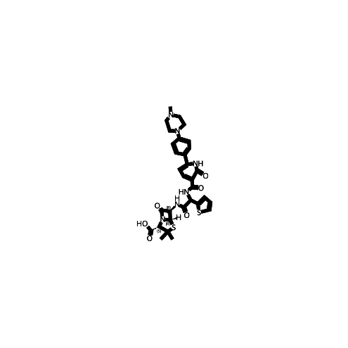 CN1CCN(c2ccc(-c3ccc(C(=O)NC(C(=O)N[C@@H]4C(=O)N5[C@@H]4SC(C)(C)[C@@H]5C(=O)O)c4cccs4)c(=O)[nH]3)cc2)CC1